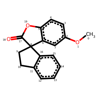 COc1ccc2c(c1)C1(CCc3ccccc31)C(=O)O2